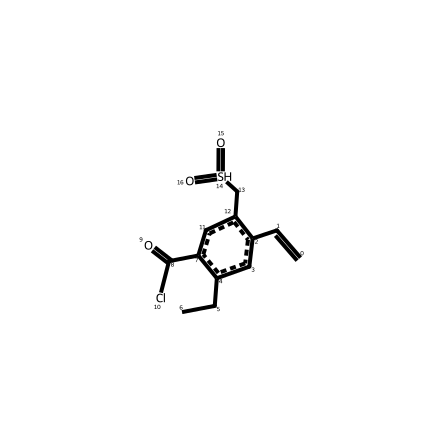 C=Cc1cc(CC)c(C(=O)Cl)cc1C[SH](=O)=O